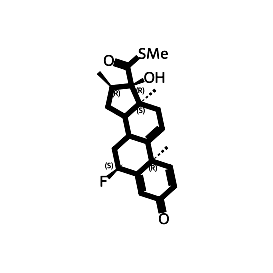 CSC(=O)[C@@]1(O)[C@H](C)CC2C3C[C@H](F)C4=CC(=O)C=C[C@]4(C)C3=CC[C@@]21C